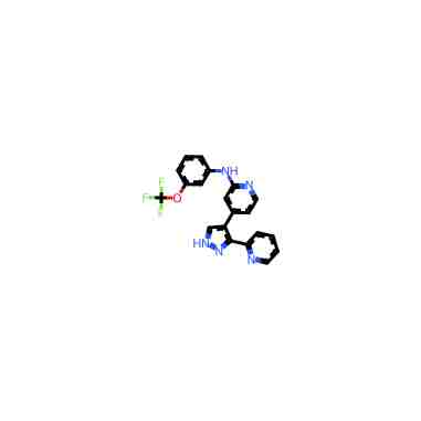 FC(F)(F)Oc1cccc(Nc2cc(-c3c[nH]nc3-c3ccccn3)ccn2)c1